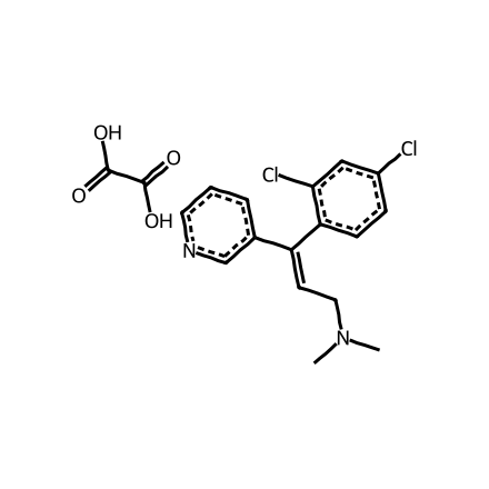 CN(C)CC=C(c1cccnc1)c1ccc(Cl)cc1Cl.O=C(O)C(=O)O